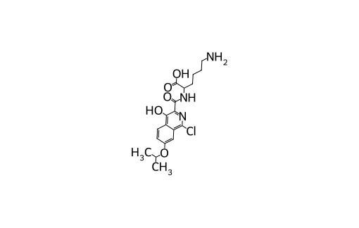 CC(C)Oc1ccc2c(O)c(C(=O)NC(CCCCN)C(=O)O)nc(Cl)c2c1